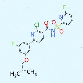 CC(C)COc1cc(F)cc(-c2ccc(C(=O)NS(=O)(=O)c3cccc(F)n3)c(Cl)n2)c1